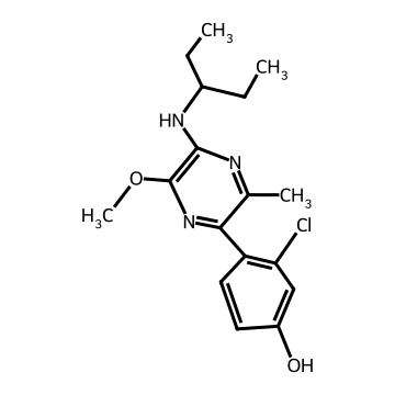 CCC(CC)Nc1nc(C)c(-c2ccc(O)cc2Cl)nc1OC